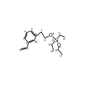 C=Cc1cccc(CCO[Si](CC)(CC)OCC)c1